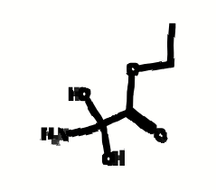 CCOC(=O)C(N)(O)O